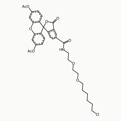 CC(=O)Oc1ccc2c(c1)Oc1cc(OC(C)=O)ccc1C21OC(=O)c2cc(C(=O)NCCOCCOCCCCCCCl)ccc21